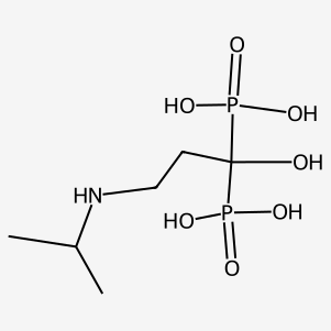 CC(C)NCCC(O)(P(=O)(O)O)P(=O)(O)O